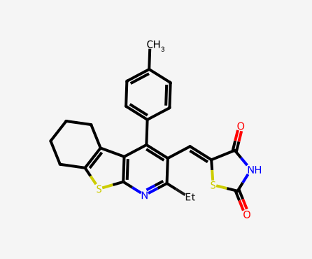 CCc1nc2sc3c(c2c(-c2ccc(C)cc2)c1C=C1SC(=O)NC1=O)CCCC3